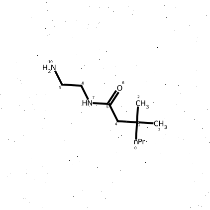 CCCC(C)(C)CC(=O)NCCN